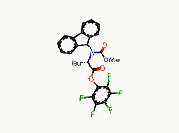 CCC(C)[C@@H](C(=O)Oc1c(F)c(F)c(F)c(F)c1F)N(C(=O)OC)C1c2ccccc2-c2ccccc21